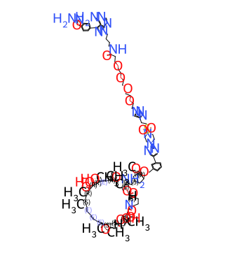 CO[C@H]1C[C@@H]2CC[C@@H](C)[C@@](O)(O2)C(=O)C(=O)N2CCCC[C@H]2C(=O)O[C@H]([C@H](N)C[C@@H]2CC[C@@H](OCc3cccc(-c4cnc(N5CCN(S(=O)(=O)CCc6cn(CCOCCOCCOCCOCCC(=O)NCCCCn7nc(-c8ccc9oc(N)nc9c8)c8c(N)ncnc87)nn6)CC5)nc4)c3)[C@H](OC)C2)CC(=O)[C@H](C)/C=C(\C)[C@@H](O)[C@@H](O)C(=O)[C@H](C)C[C@H](C)/C=C/C=C/C=C/1C